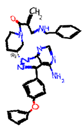 C=C(CNCc1ccccc1)C(=O)N1CCC[C@@H](n2nc(-c3ccc(Oc4ccccc4)cc3)c3c(N)ncnc32)C1